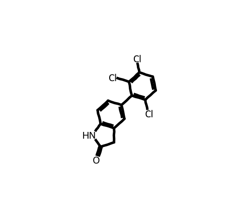 O=C1Cc2cc(-c3c(Cl)ccc(Cl)c3Cl)ccc2N1